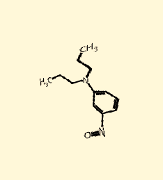 CCCN(CCC)c1cccc(N=O)c1